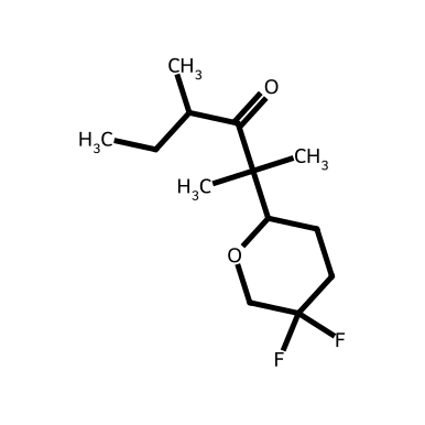 CCC(C)C(=O)C(C)(C)C1CCC(F)(F)CO1